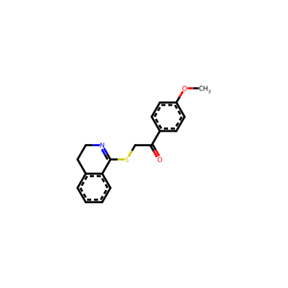 COc1ccc(C(=O)CSC2=NCCc3ccccc32)cc1